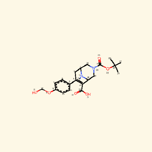 CN1C2CC(c3ccc(OCO)cc3)=C(C(=O)O)C1CN(C(=O)OC(C)(C)C)C2